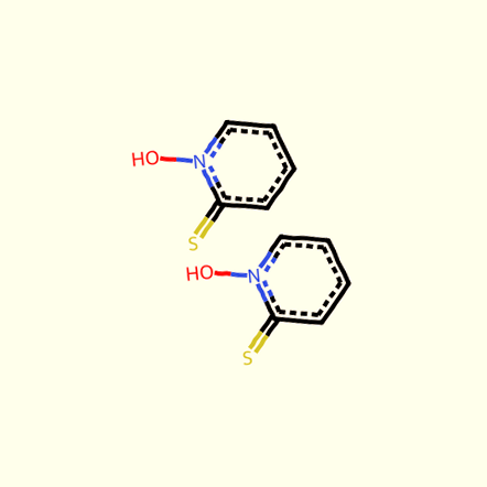 On1ccccc1=S.On1ccccc1=S